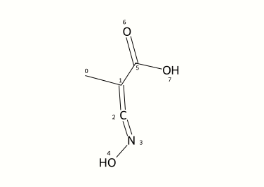 CC(=C=NO)C(=O)O